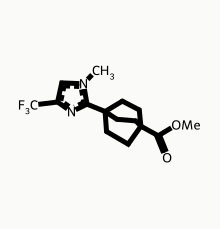 COC(=O)C12CCC(c3nc(C(F)(F)F)cn3C)(CC1)CC2